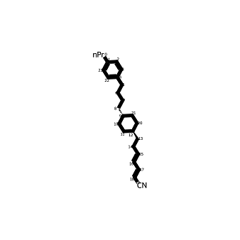 CCCc1ccc(CCCC[C@H]2CC[C@H](CC/C=C/C=C/C#N)CC2)cc1